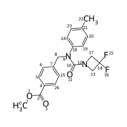 COC(=O)c1ccc(CN(C(=O)N2CC(F)(F)C2)c2ccc(C)cc2)cc1